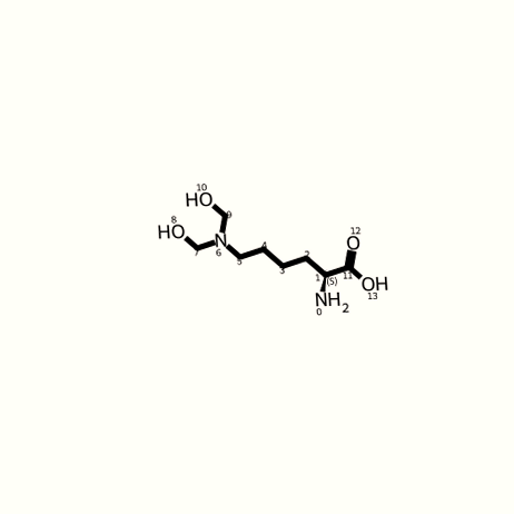 N[C@@H](CCCCN(CO)CO)C(=O)O